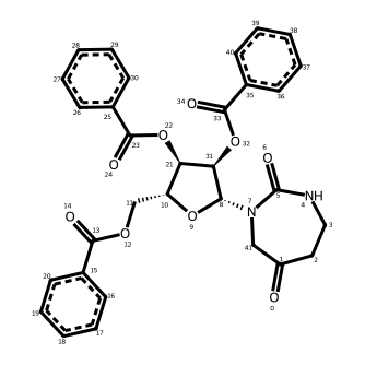 O=C1CCNC(=O)N([C@@H]2O[C@H](COC(=O)c3ccccc3)[C@@H](OC(=O)c3ccccc3)[C@H]2OC(=O)c2ccccc2)C1